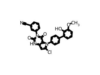 COc1cccc(-c2ccc(-n3c(Cl)cc4[nH]c(=O)n(-c5cccc(C#N)c5)c(=O)c43)cc2)c1O